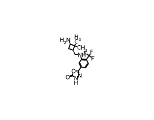 CC1(C)[C@@H](CNc2cc(-c3n[nH]c(=O)o3)ccc2C(F)(F)F)C[C@H]1N